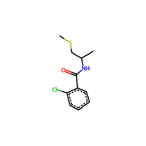 CSCC(C)NC(=O)c1ccccc1Cl